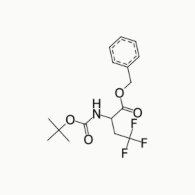 CC(C)(C)OC(=O)NC(CC(F)(F)F)C(=O)OCc1ccccc1